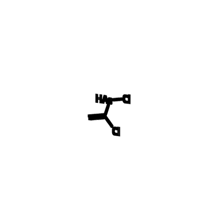 C=C(Cl)[AsH]Cl